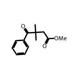 COC(=O)CC(C)(C)C(=O)c1ccccc1